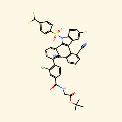 CC(C)(C)OC(=O)CNC(=O)c1ccc(-c2cccc(-c3c(-c4c(C#N)cccc4C#N)c4cc(F)ccc4n3S(=O)(=O)c3ccc(C(F)F)cc3)c2)c(Cl)c1